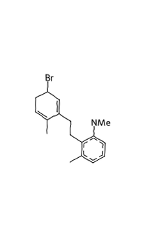 CNc1cccc(C)c1CCC1=CC(Br)CC=C1C